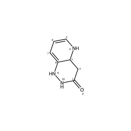 O=C1CC2NC=CC=C2NN1